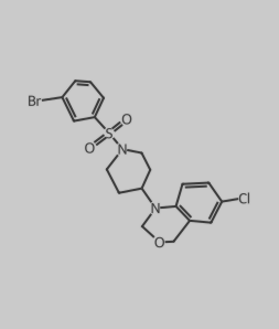 O=S(=O)(c1cccc(Br)c1)N1CCC(N2COCc3cc(Cl)ccc32)CC1